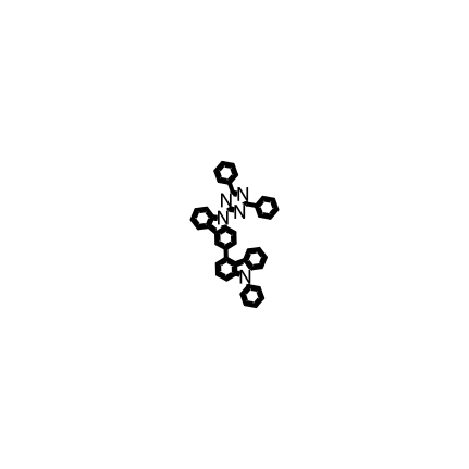 c1ccc(-c2nc(-c3ccccc3)nc(-n3c4ccccc4c4cc(-c5cccc6c5c5ccccc5n6-c5ccccc5)ccc43)n2)cc1